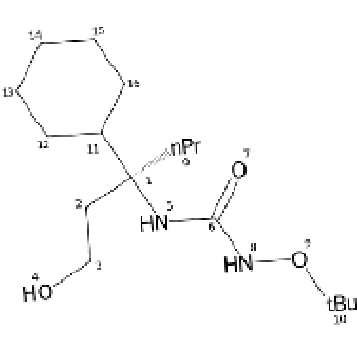 CCC[C@@](CCO)(NC(=O)NOC(C)(C)C)C1CCCCC1